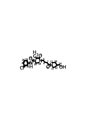 C[C@H]1C(=O)N(CCCC(=O)N2CCC(CO)CC2)CCN1C(=O)Nc1cccc(Cl)c1